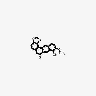 COc1ccc2cc3c4c5c(ccc4cc[n+]3cc2c1O)OCO5.[Br-]